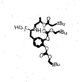 CCC(C)COC(=O)Oc1ccc(C[C@H](NCC(C)OC(=O)CC(C)(C)C)C(=O)O)cc1OC(=O)OCC(C)CC